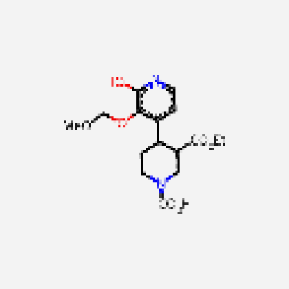 CCOC(=O)C1CN(C(=O)O)CCC1c1ccnc(O)c1OCOC